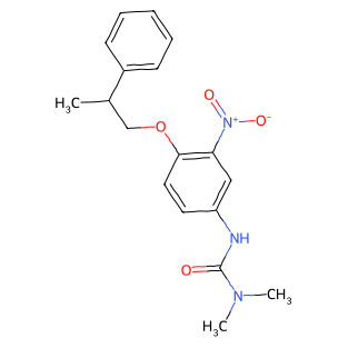 CC(COc1ccc(NC(=O)N(C)C)cc1[N+](=O)[O-])c1ccccc1